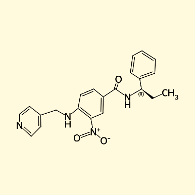 CC[C@@H](NC(=O)c1ccc(NCc2ccncc2)c([N+](=O)[O-])c1)c1ccccc1